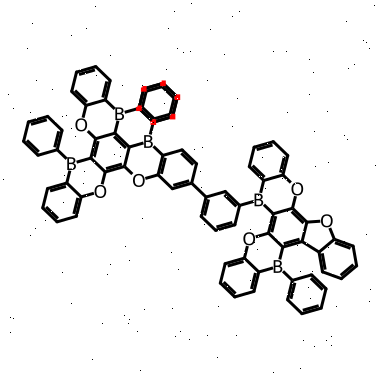 c1ccc(B2c3ccccc3Oc3c4c(c5c(c32)Oc2ccccc2B5c2ccccc2)B(c2ccccc2)c2ccc(-c3cccc(B5c6ccccc6Oc6c5c5c(c7c6oc6ccccc67)B(c6ccccc6)c6ccccc6O5)c3)cc2O4)cc1